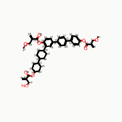 C=C(COC)C(=O)Oc1ccc(-c2ccc(-c3ccc(OC(=O)C(=C)COC)c(C4CCC(C5CCC(OC(=O)C(=C)CO)CC5)CC4)c3)cc2)cc1